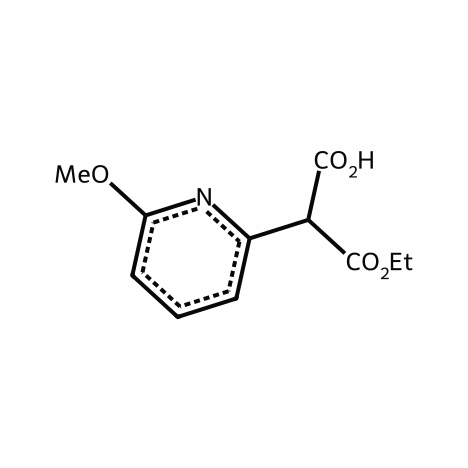 CCOC(=O)C(C(=O)O)c1cccc(OC)n1